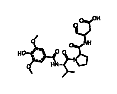 COc1cc(C(=O)N[C@H](C(=O)N2CCCC2C(=O)NC(C=O)CC(=O)O)C(C)C)cc(OC)c1O